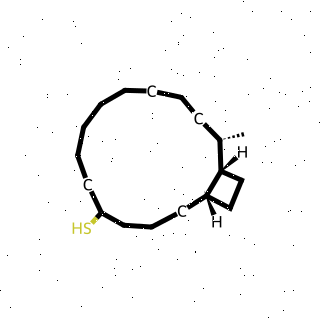 C[C@H]1CCCCCCCCC(S)CCC[C@H]2CC[C@H]21